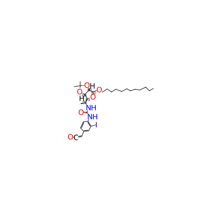 CCCCCCCCCCCCO[C@H]1O[C@H]([C@H](C)NC(=O)Nc2ccc(C=C=O)cc2I)[C@@H]2OC(C)(C)O[C@H]12